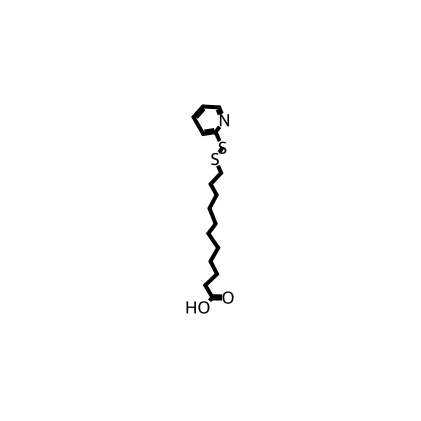 O=C(O)CCCCCCCCCCSSc1ccccn1